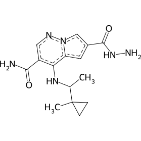 CC(Nc1c(C(N)=O)cnn2cc(C(=O)NN)cc12)C1(C)CC1